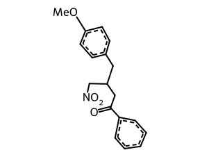 COc1ccc(CC(CC(=O)c2ccccc2)C[N+](=O)[O-])cc1